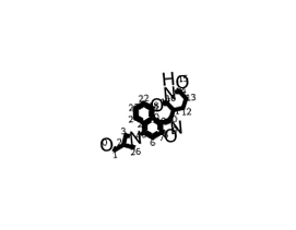 O=CC1CN(c2cc3onc(C4CCC(=O)NC4=O)c3c3ccccc23)C1